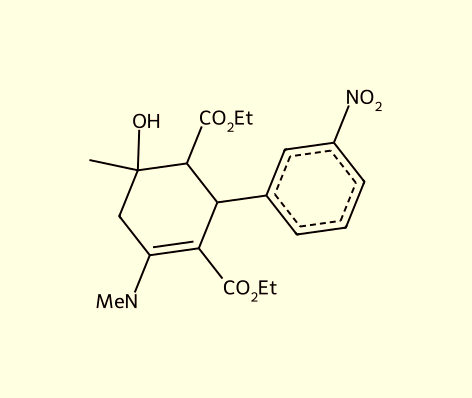 CCOC(=O)C1=C(NC)CC(C)(O)C(C(=O)OCC)C1c1cccc([N+](=O)[O-])c1